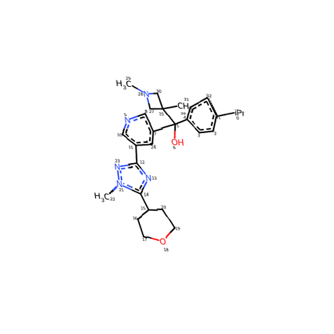 CC(C)c1ccc(C(O)(c2cncc(-c3nc(C4CCOCC4)n(C)n3)c2)C2(C)CN(C)C2)cc1